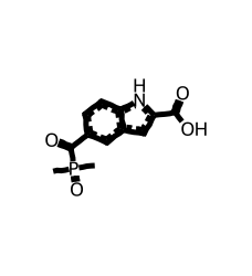 CP(C)(=O)C(=O)c1ccc2[nH]c(C(=O)O)cc2c1